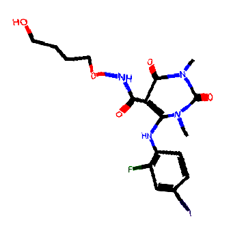 Cn1c(Nc2ccc(I)cc2F)c(C(=O)NOCCCCO)c(=O)n(C)c1=O